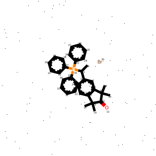 CC(c1ccc2c(c1)C(C)(C)C(=O)C2(C)C)[P+](c1ccccc1)(c1ccccc1)c1ccccc1.[Br-]